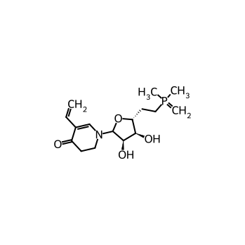 C=CC1=CN(C2O[C@H](CCP(=C)(C)C)[C@@H](O)[C@H]2O)CCC1=O